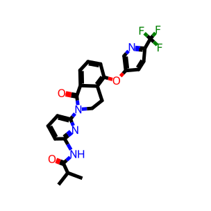 CC(C)C(=O)Nc1cccc(N2CCc3c(Oc4ccc(C(F)(F)F)nc4)cccc3C2=O)n1